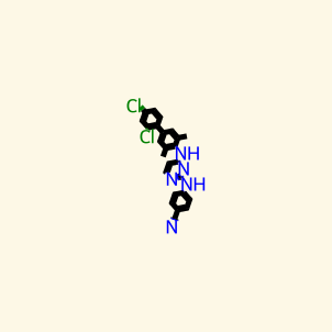 Cc1cc(-c2ccc(Cl)cc2Cl)cc(C)c1Nc1ccnc(Nc2ccc(C#N)cc2)n1